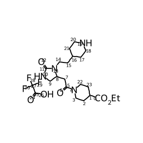 CCOC(=O)C1CCN(C(=O)CC2CNC(=O)N2CCC2CCNCC2)CC1.O=C(O)C(F)(F)F